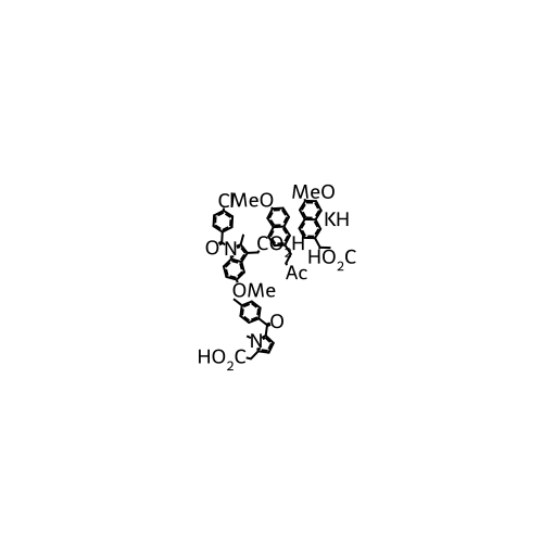 COc1ccc2c(c1)c(CC(=O)O)c(C)n2C(=O)c1ccc(Cl)cc1.COc1ccc2cc(CCC(C)=O)ccc2c1.COc1ccc2cc([C@H](C)C(=O)O)ccc2c1.Cc1ccc(C(=O)c2ccc(CC(=O)O)n2C)cc1.[KH]